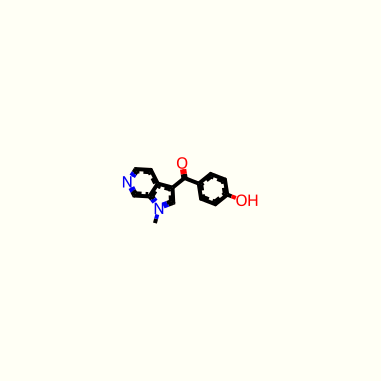 Cn1cc(C(=O)c2ccc(O)cc2)c2ccncc21